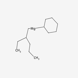 CCCC(CC)[CH2][Mg][CH]1CCCCC1